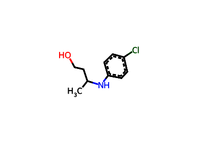 CC(CCO)Nc1ccc(Cl)cc1